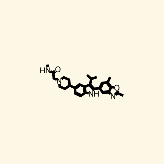 CNC(=O)CN1CCC(c2ccc3[nH]c(-c4cc(C)c5oc(C)nc5c4)c(C(C)C)c3c2)CC1